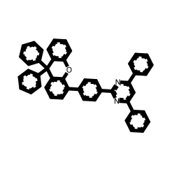 c1ccc(-c2cc(-c3ccccc3)nc(-c3ccc(-c4cccc5c4Oc4ccccc4C5(c4ccccc4)c4ccccc4)cc3)n2)cc1